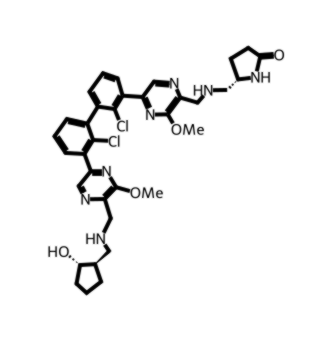 COc1nc(-c2cccc(-c3cccc(-c4cnc(CNC[C@H]5CCC[C@@H]5O)c(OC)n4)c3Cl)c2Cl)cnc1CNC[C@@H]1CCC(=O)N1